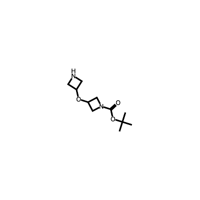 CC(C)(C)OC(=O)N1CC(OC2CNC2)C1